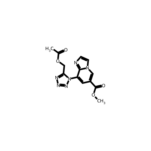 COC(=O)c1cc(-n2nnnc2COC(C)=O)c2nccn2c1